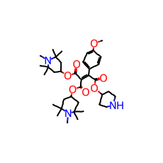 COc1ccc(C(C(=O)OC2CCNCC2)=C(C(=O)OC2CC(C)(C)N(C)C(C)(C)C2)C(=O)OC2CC(C)(C)N(C)C(C)(C)C2)cc1